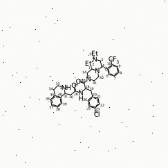 CCN(CC)CC(c1ccccc1C(F)(F)F)N1CCN(C(=O)C(Cc2ccc(Cl)cc2)NC(=O)CC2NCCc3ccccc32)CC1